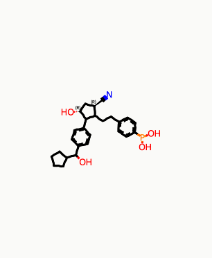 N#C[C@@H]1C[C@@H](O)C(c2ccc(C(O)C3CCCC3)cc2)C1CCc1ccc(P(O)O)cc1